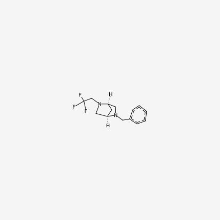 FC(F)(F)CN1C[C@H]2C[C@@H]1CN2Cc1ccccc1